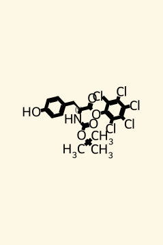 CC(C)(C)OC(=O)N[C@@H](Cc1ccc(O)cc1)C(=O)Oc1c(Cl)c(Cl)c(Cl)c(Cl)c1Cl